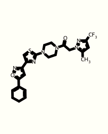 Cc1cc(C(F)(F)F)nn1CC(=O)N1CCN(c2nc(-c3cc(C4=CCCC=C4)on3)cs2)CC1